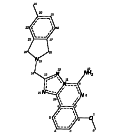 COc1cccc2c1nc(N)n1nc(CN3Cc4ccc(C)cc4C3)nc21